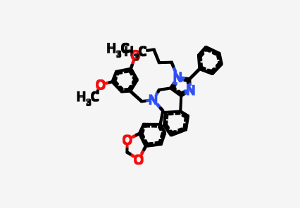 CCCCn1c(-c2ccccc2)nc(-c2ccccc2)c1CN(Cc1cc(OC)cc(OC)c1)Cc1ccc2c(c1)OCO2